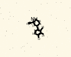 C#CC1(N)CCCC(c2ccc(C)c(C)c2C)C1